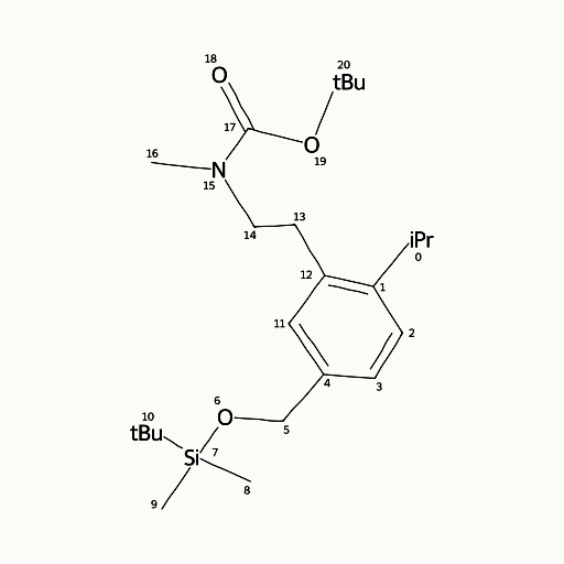 CC(C)c1ccc(CO[Si](C)(C)C(C)(C)C)cc1CCN(C)C(=O)OC(C)(C)C